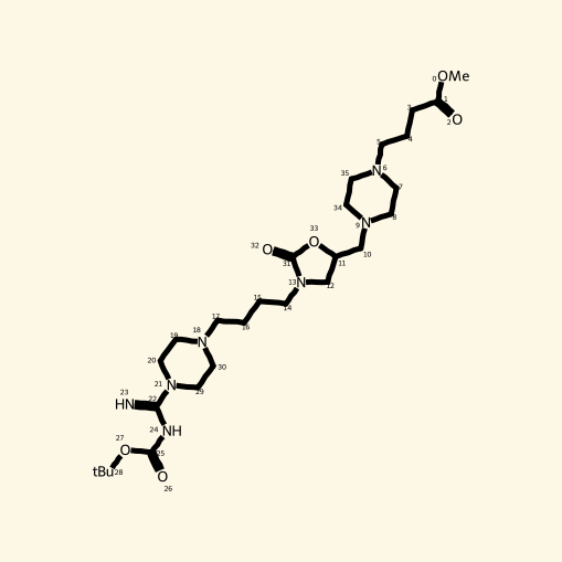 COC(=O)CCCN1CCN(CC2CN(CCCCN3CCN(C(=N)NC(=O)OC(C)(C)C)CC3)C(=O)O2)CC1